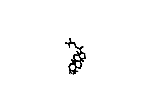 CC(C)=C(C)CCC(C)C1CCC2(C)C3CCC4C(C)(C)C(O)CCC45CC35CCC12C